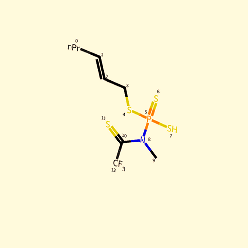 CCCC=CCSP(=S)(S)N(C)C(=S)C(F)(F)F